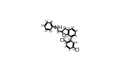 Clc1ccc(Cl)c(-c2cccc3c2OC(CNc2ccccc2)C3)c1